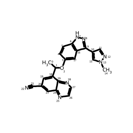 CC(Oc1ccc2[nH]nc(-c3cnn(C)c3)c2c1)c1cc(C#N)cc2nccnc12